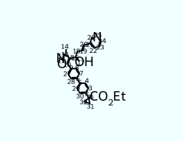 CCOC(=O)C1(c2ccc(-c3ccc(-c4onc(C)c4C(O)CC=Cc4cccnc4)cc3)cc2)CC1